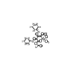 COC(=O)[C@H]1O[C@@H](OC(C)=O)[C@H](OCc2ccccc2)[C@@H](OCc2ccccc2)[C@@H]1OCl